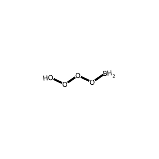 BOOOO